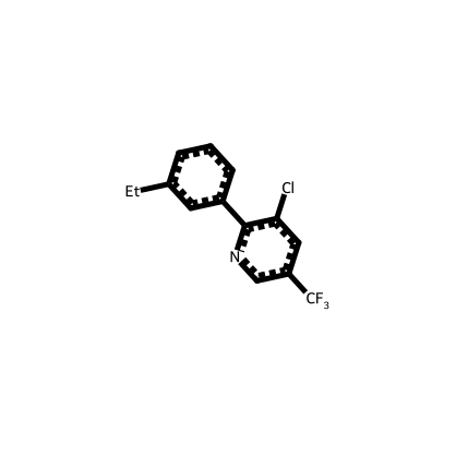 CCc1cccc(-c2ncc(C(F)(F)F)cc2Cl)c1